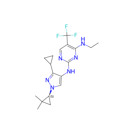 CCNc1nc(Nc2cn([C@H]3CC3(C)C)nc2C2CC2)ncc1C(F)(F)F